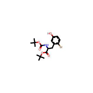 CC(C)(C)OC(=O)NC(Cc1cc(O)ccc1Br)C(=O)OC(C)(C)C